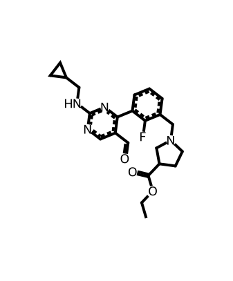 CCOC(=O)C1CCN(Cc2cccc(-c3nc(NCC4CC4)ncc3C=O)c2F)C1